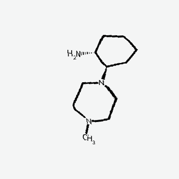 CN1CCN([C@@H]2CCCC[C@H]2N)CC1